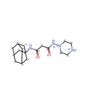 O=C(CC(=O)NC12CC3CC(CC(C3)C1)C2)NN1CCNCC1